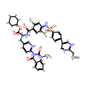 COCc1ncc(-c2ccc(S(=O)(=O)Nc3cc(F)c(C(=O)N[C@@H](Cc4ccc(-n5c(=O)c6ccccc6n(C)c5=O)nc4)C(=O)OC4CCCCC4)cc3F)cc2)cn1